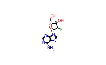 Nc1ncnc2c1ncn2[C@@H]1O[C@H](CO)[C@H](O)C1F